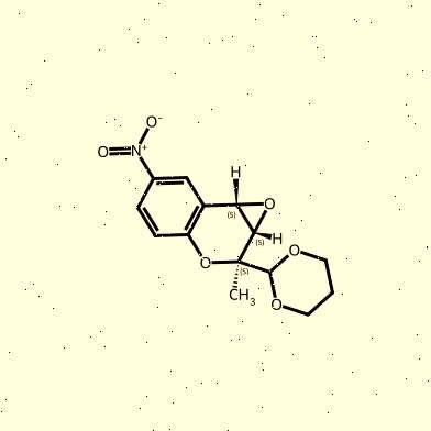 C[C@]1(C2OCCCO2)Oc2ccc([N+](=O)[O-])cc2[C@@H]2O[C@@H]21